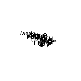 CNS(=O)(=O)Nc1cccc(Oc2c(-c3ncc[nH]3)c(Nc3ccc(I)cc3F)n(C)c(=O)c2C)c1Cl